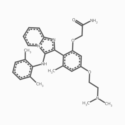 Cc1cccc(C)c1Nc1c(-c2c(C)cc(OCCN(C)C)cc2OCC(N)=O)nc2ccccn12